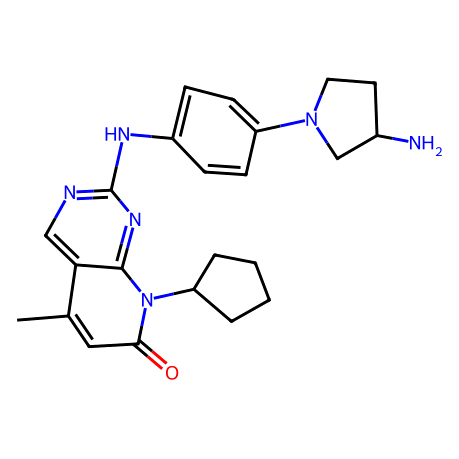 Cc1cc(=O)n(C2CCCC2)c2nc(Nc3ccc(N4CCC(N)C4)cc3)ncc12